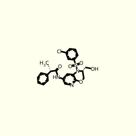 C[C@H](C(=O)Nc1cnc2c(c1)N(S(=O)(=O)c1cccc(Cl)c1)[C@H](CO)CO2)c1ccccc1